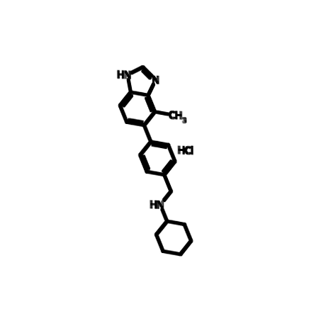 Cc1c(-c2ccc(CNC3CCCCC3)cc2)ccc2[nH]cnc12.Cl